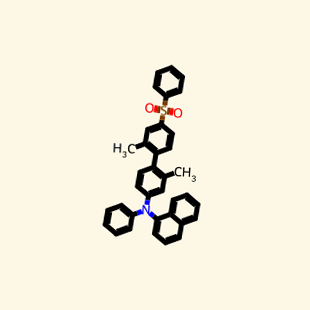 Cc1cc(N(c2ccccc2)c2cccc3ccccc23)ccc1-c1ccc(S(=O)(=O)c2ccccc2)cc1C